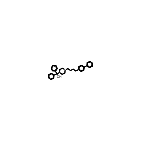 OC(c1ccccc1)(c1ccccc1)C1CCN(CCCCc2ccc(-c3ccccc3)cc2)CC1